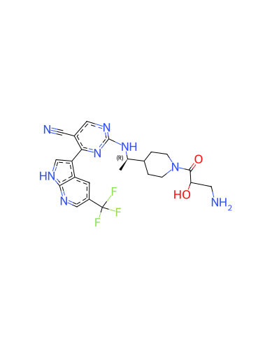 C[C@@H](Nc1ncc(C#N)c(-c2c[nH]c3ncc(C(F)(F)F)cc23)n1)C1CCN(C(=O)C(O)CN)CC1